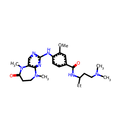 CCC(CCN(C)C)NC(=O)c1ccc(Nc2ncc3c(n2)N(C)CCC(=O)N3C)c(OC)c1